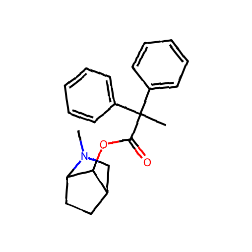 CN1CC2CCC1C2OC(=O)C(C)(c1ccccc1)c1ccccc1